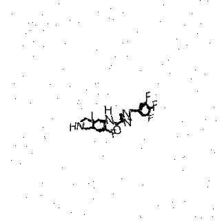 O=C(NC1=CC2(I)CCNCC2C=C1F)c1cn(Cc2cc(F)c(F)c(F)c2)cn1